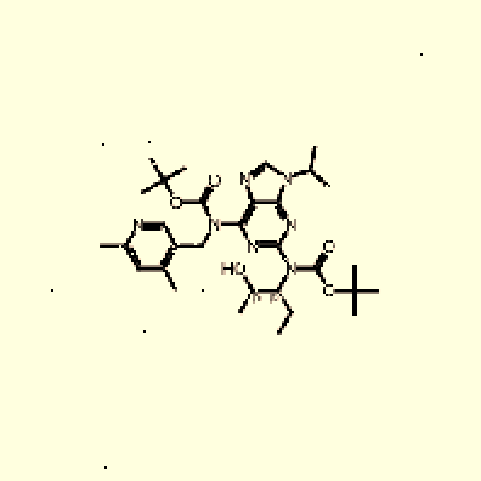 CC[C@@H]([C@@H](C)O)N(C(=O)OC(C)(C)C)c1nc(N(Cc2cnc(C)cc2C)C(=O)OC(C)(C)C)c2ncn(C(C)C)c2n1